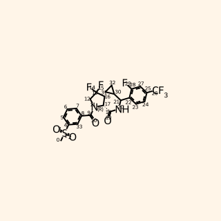 CS(=O)(=O)c1cccc(C(=O)N2CC(F)(F)C[C@@H]2C(=O)NC(c2ccc(C(F)(F)F)cc2F)C2CC2)c1